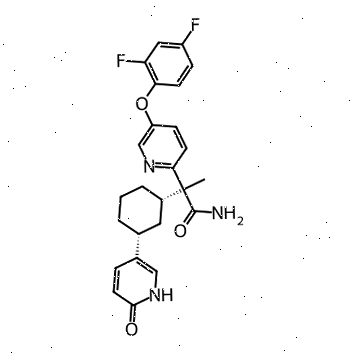 CC(C(N)=O)(c1ccc(Oc2ccc(F)cc2F)cn1)[C@H]1CCC[C@@H](c2ccc(=O)[nH]c2)C1